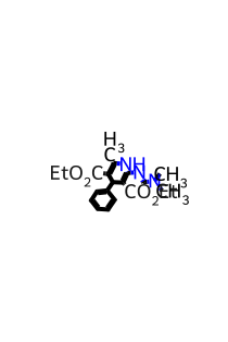 CCOC(=O)C1=C(C)NC(N=CN(C)C)=C(C(=O)OCC)C1c1ccccc1